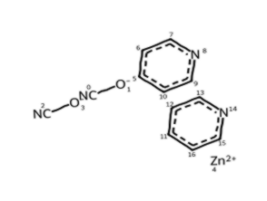 N#C[O-].N#C[O-].[Zn+2].c1ccncc1.c1ccncc1